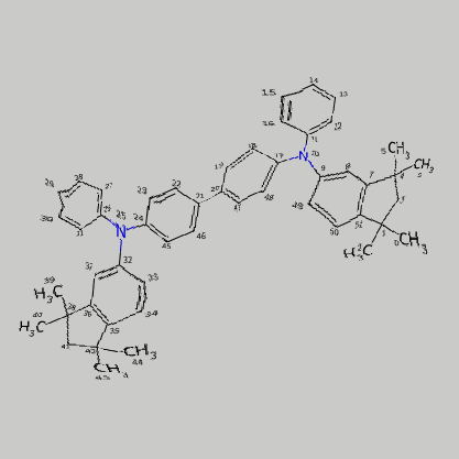 CC1(C)CC(C)(C)c2cc(N(c3ccccc3)c3ccc(-c4ccc(N(c5ccccc5)c5ccc6c(c5)C(C)(C)CC6(C)C)cc4)cc3)ccc21